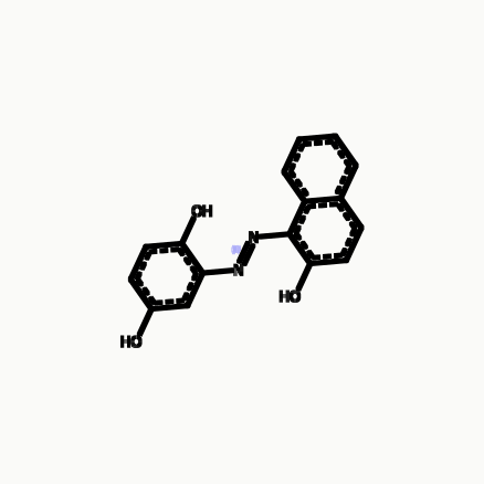 Oc1ccc(O)c(/N=N/c2c(O)ccc3ccccc23)c1